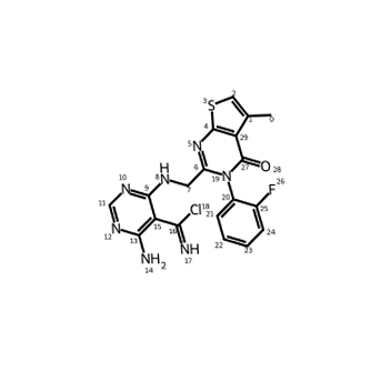 Cc1csc2nc(CNc3ncnc(N)c3C(=N)Cl)n(-c3ccccc3F)c(=O)c12